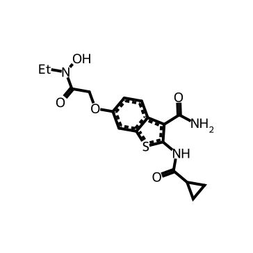 CCN(O)C(=O)COc1ccc2c(C(N)=O)c(NC(=O)C3CC3)sc2c1